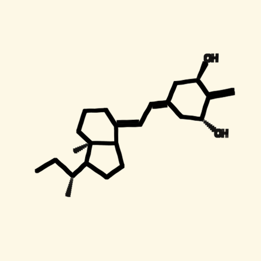 C=C1[C@H](O)CC(=C/C=C2\CCC[C@@]3(C)C2CCC3[C@H](C)CC)C[C@H]1O